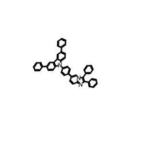 c1ccc(-c2ccc3c(c2)c2cc(-c4ccccc4)ccc2n3-c2ccc(-c3ccc4nc(-c5ccccc5)c(-c5ccccc5)n4c3)cc2)cc1